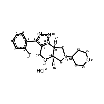 Cl.Fc1ccccc1-c1nnn2c1CO[C@H]1CN(C3CCOCC3)C[C@@H]12